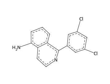 Nc1cccc2c(-c3cc(Cl)cc(Cl)c3)nccc12